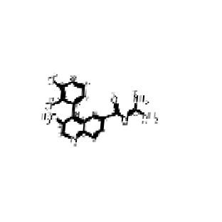 Cc1cnc2ccc(C(=O)N=C(N)N)cc2c1-c1cccc(Cl)c1Cl